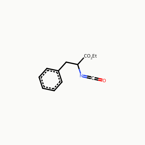 CCOC(=O)C(Cc1ccccc1)N=C=O